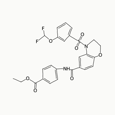 CCOC(=O)c1ccc(NC(=O)c2ccc3c(c2)N(S(=O)(=O)c2cccc(OC(F)F)c2)CCO3)cc1